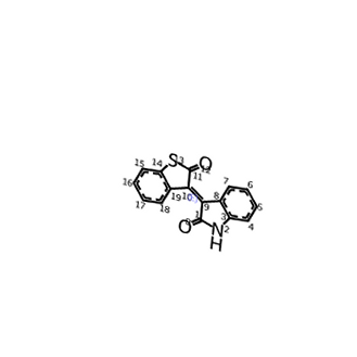 O=C1Nc2ccccc2/C1=C1\C(=O)Sc2ccccc21